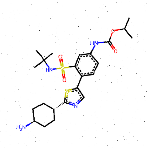 CC(C)OC(=O)Nc1ccc(-c2cnc([C@H]3CC[C@H](N)CC3)s2)c(S(=O)(=O)NC(C)(C)C)c1